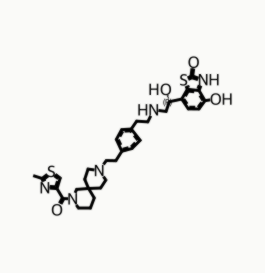 Cc1nc(C(=O)N2CCCC3(CCN(CCc4ccc(CCNC[C@H](O)c5ccc(O)c6[nH]c(=O)sc56)cc4)CC3)C2)cs1